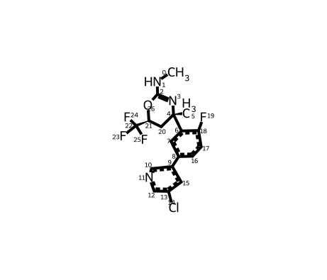 CNC1=N[C@](C)(c2cc(-c3cncc(Cl)c3)ccc2F)C[C@@H](C(F)(F)F)O1